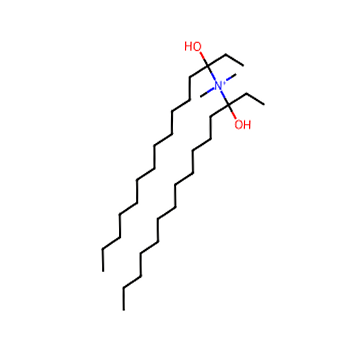 CCCCCCCCCCCCC(O)(CC)[N+](C)(C)C(O)(CC)CCCCCCCCCCCC